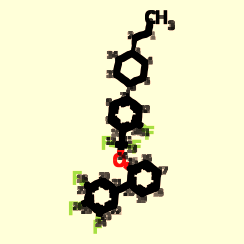 CCC[C@H]1CC[C@H](c2ccc(C(F)(F)Oc3ccccc3-c3cc(F)c(F)c(F)c3)c(F)c2)CC1